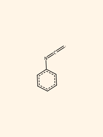 [C]=C=Nc1ccccc1